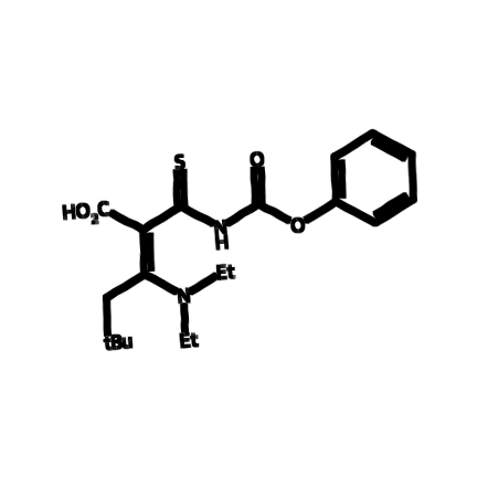 CCN(CC)C(CC(C)(C)C)=C(C(=O)O)C(=S)NC(=O)Oc1ccccc1